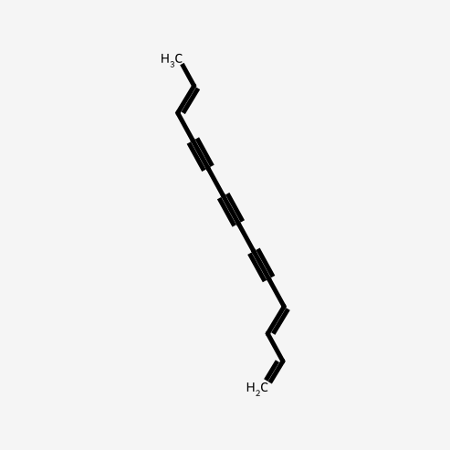 C=C/C=C/C#CC#CC#C/C=C/C